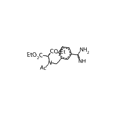 CCOC(=O)C(C(=O)OCC)N(Cc1cccc(C(=N)N)c1)C(C)=O